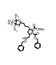 COC(=O)[C@@H]1[C@H](CCCB2OC(C)(C)C(C)(C)O2)CC(CNOCc2ccccc2)N1C(=O)OCc1ccccc1